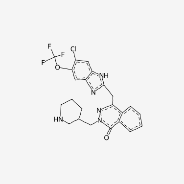 O=c1c2ccccc2c(Cc2nc3cc(OC(F)(F)F)c(Cl)cc3[nH]2)nn1CC1CCCNC1